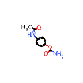 CC(=O)Nc1ccc(OC(N)=O)cc1